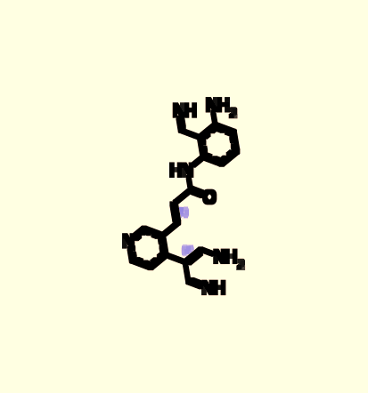 N=C/C(=C\N)c1ccncc1/C=C/C(=O)Nc1cccc(N)c1C=N